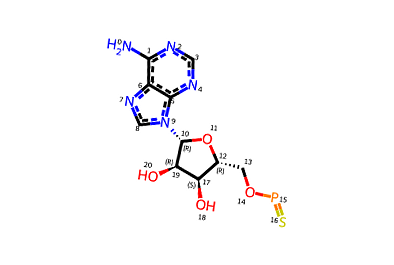 Nc1ncnc2c1ncn2[C@@H]1O[C@H](COP=S)[C@@H](O)[C@H]1O